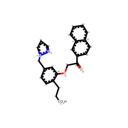 O=C(O)CCc1ccc(Cn2cccn2)cc1OCC(=O)c1ccc2ccccc2c1